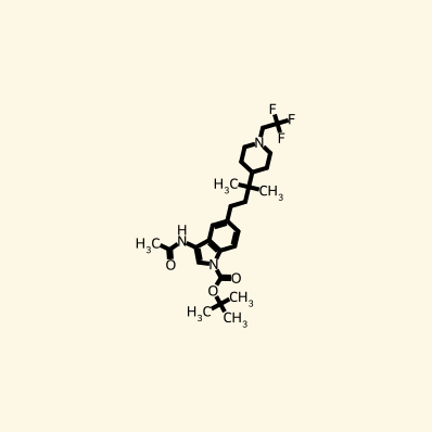 CC(=O)Nc1cn(C(=O)OC(C)(C)C)c2ccc(CCC(C)(C)C3CCN(CC(F)(F)F)CC3)cc12